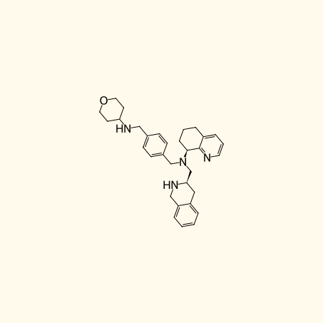 c1ccc2c(c1)CN[C@@H](CN(Cc1ccc(CNC3CCOCC3)cc1)[C@H]1CCCc3cccnc31)C2